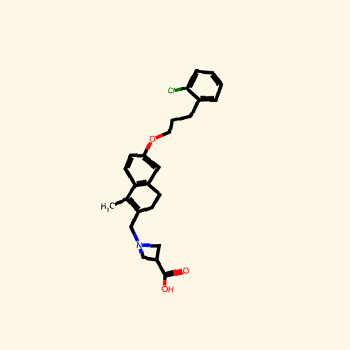 CC1=C(CN2CC(C(=O)O)C2)CCc2cc(OCCCc3ccccc3Cl)ccc21